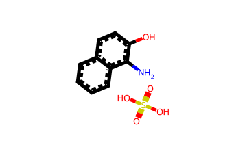 Nc1c(O)ccc2ccccc12.O=S(=O)(O)O